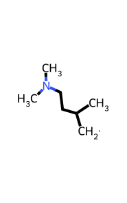 [CH2]C(C)CCN(C)C